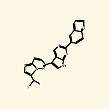 FC(F)c1cnc2ccc(-c3c[nH]c4nc(-c5ccc6ncccc6c5)ncc34)nn12